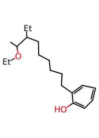 CCOC(C)C(CC)CCCCCCc1ccccc1O